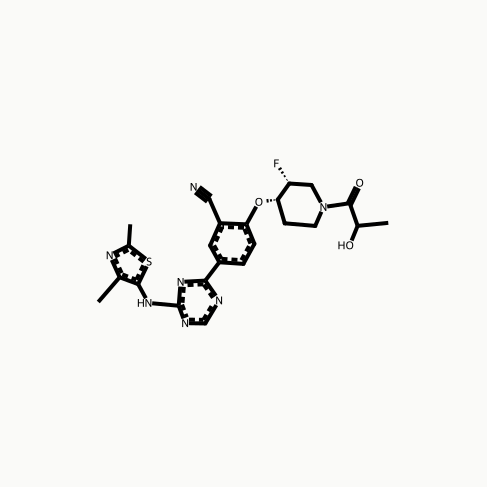 Cc1nc(C)c(Nc2ncnc(-c3ccc(O[C@H]4CCN(C(=O)C(C)O)C[C@H]4F)c(C#N)c3)n2)s1